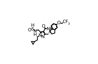 O=[SH]NCc1c2c(nn1CCC1CC1)C[C@]1(CCc3cc(OCC(F)(F)F)ccc31)NC2=O